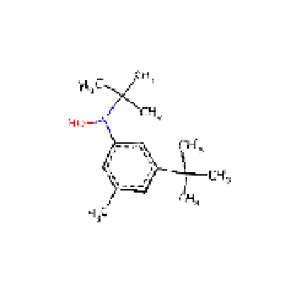 Cc1cc(N(O)C(C)(C)C)cc(C(C)(C)C)c1